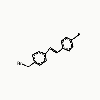 BrCc1ccc(/C=C/c2ccc(Br)cc2)cc1